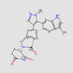 Cc1c[nH]c2cc(-c3c(-c4ccc5c(c4)CN([C@H]4CCC(=O)NC4=O)C5=O)cnn3C)ccc12